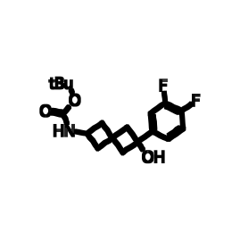 CC(C)(C)OC(=O)NC1CC2(C1)CC(O)(c1ccc(F)c(F)c1)C2